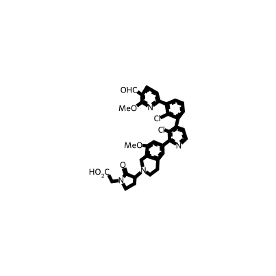 COc1cc(-c2nccc(-c3cccc(-c4ccc(C=O)c(OC)n4)c3Cl)c2Cl)cc2c1CN(C1CCN(CC(=O)O)C1=O)CC2